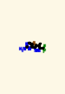 Cc1c(C(F)F)nnc2c1sc1cnc(N)nc12